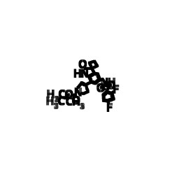 CC(C)(C)OC(=O)N1CC=C(c2cc(NS(=O)(=O)c3ccc(F)cc3F)cc3c2NC(=O)C32CCC2)CC1